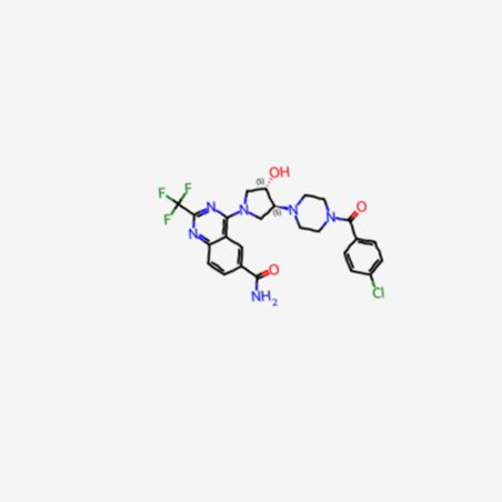 NC(=O)c1ccc2nc(C(F)(F)F)nc(N3C[C@H](O)[C@@H](N4CCN(C(=O)c5ccc(Cl)cc5)CC4)C3)c2c1